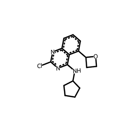 Clc1nc(NC2CCCC2)c2c(C3CCO3)cccc2n1